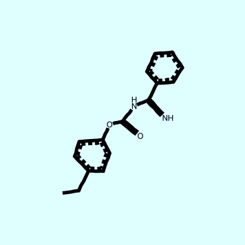 CCc1ccc(OC(=O)NC(=N)c2cc[c]cc2)cc1